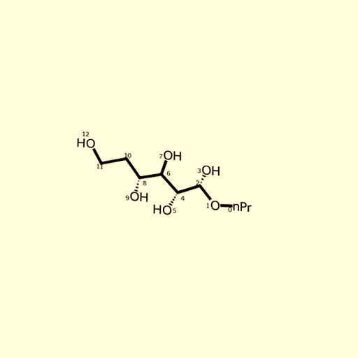 CCCO[C@@H](O)[C@H](O)C(O)[C@H](O)CCO